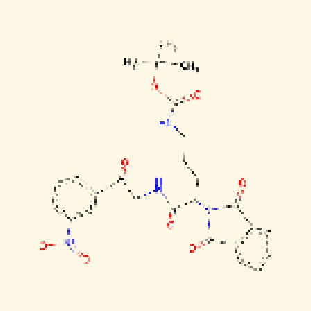 CC(C)(C)OC(=O)NCCCC(C(=O)NCC(=O)c1cccc([N+](=O)[O-])c1)N1C(=O)c2ccccc2C1=O